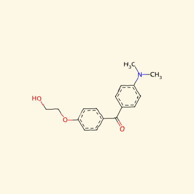 CN(C)c1ccc(C(=O)c2ccc(OCCO)cc2)cc1